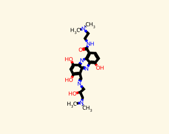 CN(C)CCNC(=O)c1ccc(O)c2nc3c(/C=N/CC(O)CN(C)C)c(O)cc(O)c3nc12